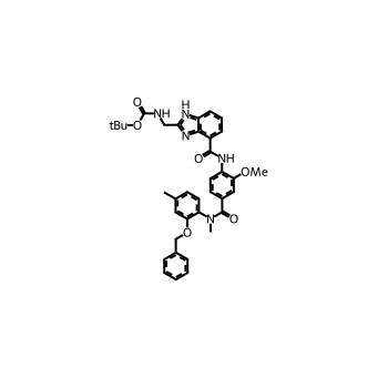 COc1cc(C(=O)N(C)c2ccc(C)cc2OCc2ccccc2)ccc1NC(=O)c1cccc2[nH]c(CNC(=O)OC(C)(C)C)nc12